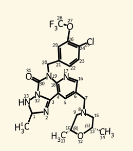 CC1N=C2c3cc(CN4C[C@@H](C)O[C@@H](C)C4)cnc3N(Cc3ccc(Cl)c(OC(F)(F)F)c3)C(=O)N2N1